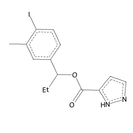 CCC(OC(=O)c1ccn[nH]1)c1ccc(I)c(C)c1